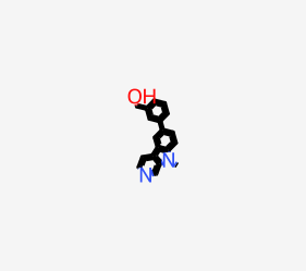 Cn1c2ccc(-c3cccc(CO)c3)cc2c2ccncc21